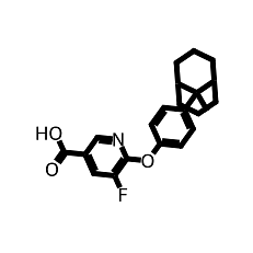 CC1(c2ccc(Oc3ncc(C(=O)O)cc3F)cc2)C2CCCC1CCC2